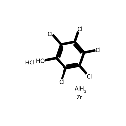 Cl.Oc1c(Cl)c(Cl)c(Cl)c(Cl)c1Cl.[AlH3].[Zr]